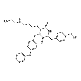 CCCOc1ccc(C[C@@H]2NC(=O)[C@H](CCCCNCCN)N(Cc3ccc(Oc4ccccc4)cc3)C2=O)cc1